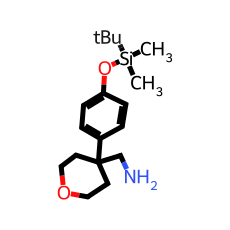 CC(C)(C)[Si](C)(C)Oc1ccc(C2(CN)CCOCC2)cc1